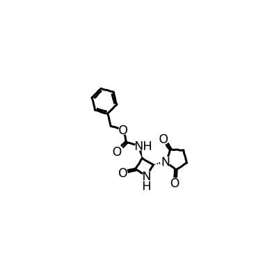 O=C(N[C@@H]1C(=O)N[C@H]1N1C(=O)CCC1=O)OCc1ccccc1